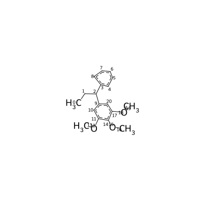 CCC(c1ccccc1)c1cc(OC)c(OC)c(OC)c1